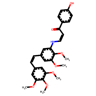 COc1cc(/C=C\c2cc(OC)c(OC)c(OC)c2)cc(N/C=C\C(=O)c2ccc(O)cc2)c1OC